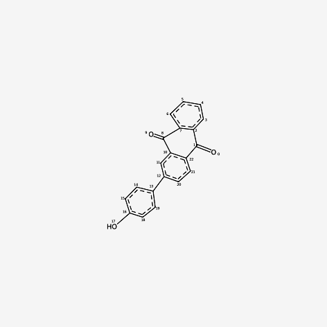 O=C1c2ccccc2C(=O)c2cc(-c3ccc(O)cc3)ccc21